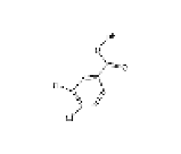 CCCOC(=O)c1ccc(Cl)c(Cl)c1